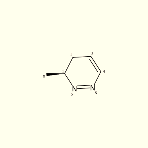 C[C@H]1CC=CN=N1